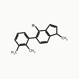 Cc1cccc(-c2ccc3c(c2Br)C=CC3C)c1C